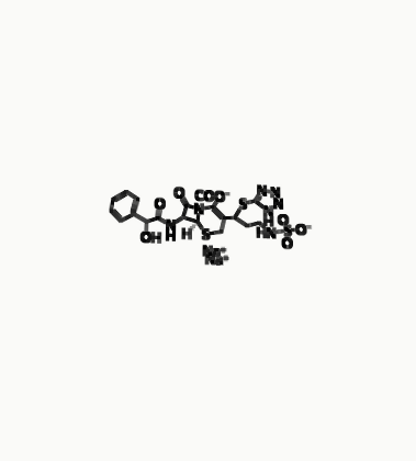 O=C([O-])C1=C(C(CCNS(=O)(=O)[O-])Sc2nnn[nH]2)CS[C@H]2C(NC(=O)C(O)c3ccccc3)C(=O)N12.[Na+].[Na+]